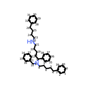 c1ccc(CCCCCN(Cc2ccccc2)C(CCCCNCCCCc2ccccc2)c2ccccc2)cc1